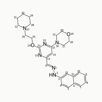 C(=NNc1ccc2ccccc2c1)c1cc(N2CCOCC2)nc(OCCN2CCCCC2)n1